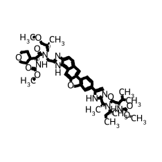 CC[C@H](C)N(C(=O)[C@@H](NC(=O)OC)C(C)C)[C@@H](C)c1ncc(-c2ccc3c(c2)COc2cc4c(ccc5nc(CN(C[C@H](C)COC)C(=O)[C@@H](NC(=O)OC)C6CCOCC6)[nH]c54)cc2-3)[nH]1